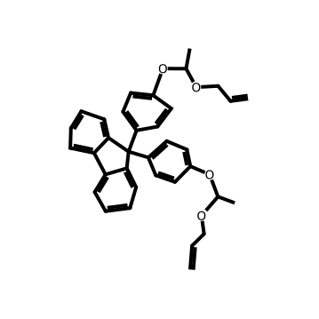 C=CCOC(C)Oc1ccc(C2(c3ccc(OC(C)OCC=C)cc3)c3ccccc3-c3ccccc32)cc1